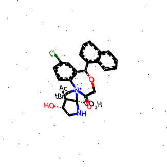 CC(=O)C1[C@@H](O)CN[C@]1(C(=O)O)[N+]1(CC(C)(C)C)C(=O)COC(c2cccc3ccccc23)c2cc(Cl)ccc21